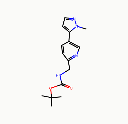 Cn1nccc1-c1ccc(CNC(=O)OC(C)(C)C)nc1